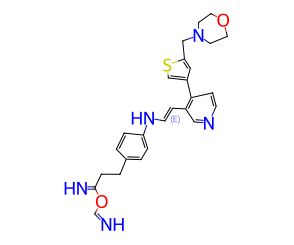 N=COC(=N)CCc1ccc(N/C=C/c2cnccc2-c2csc(CN3CCOCC3)c2)cc1